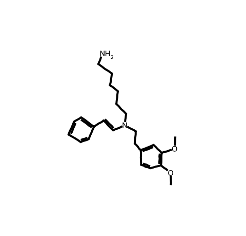 COc1ccc(CCN(C=Cc2ccccc2)CCCCCCN)cc1OC